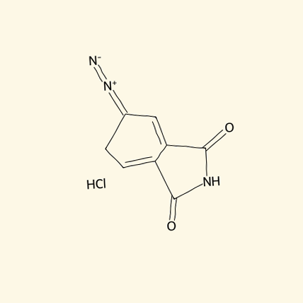 Cl.[N-]=[N+]=C1C=C2C(=O)NC(=O)C2=CC1